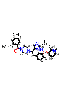 COc1cc(C)ccc1C(=O)N1CCN(C(Cc2ccc(C#N)c(Oc3cccnc3C)c2)c2cnc(C)[nH]2)CC1